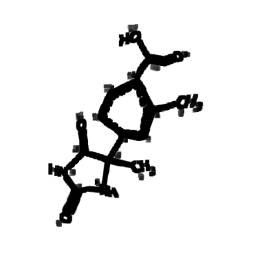 Cc1cc(C2(C)NC(=O)NC2=O)ccc1C(=O)O